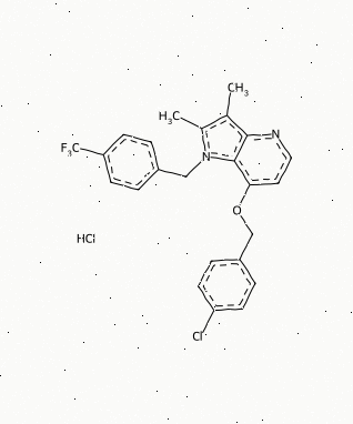 Cc1c(C)n(Cc2ccc(C(F)(F)F)cc2)c2c(OCc3ccc(Cl)cc3)ccnc12.Cl